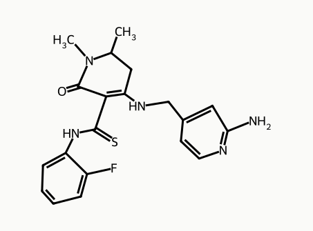 CC1CC(NCc2ccnc(N)c2)=C(C(=S)Nc2ccccc2F)C(=O)N1C